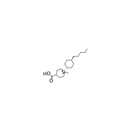 CCCCC[C@H]1CC[C@H]([Si]2(C)CCC(C(=O)O)CC2)CC1